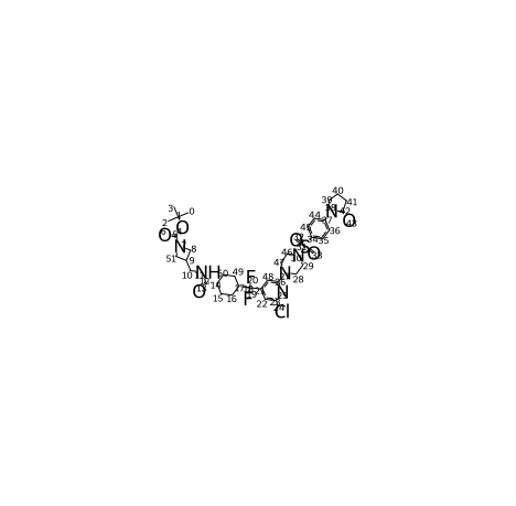 CC(C)(C)OC(=O)N1CC(CNC(=O)[C@H]2CC[C@H](C(F)(F)c3cc(Cl)nc(N4CCN(S(=O)(=O)c5ccc(N6CCCC6=O)cc5)CC4)c3)CC2)C1